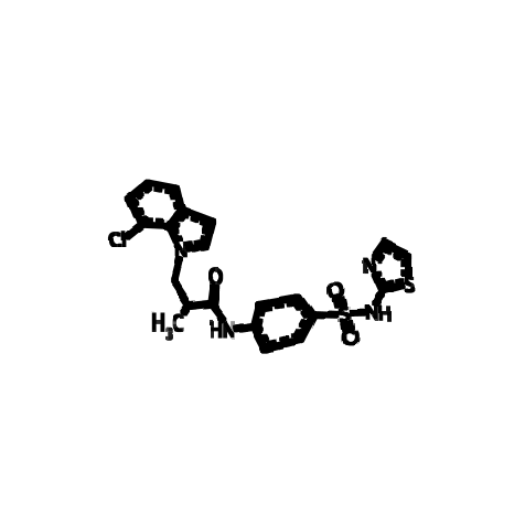 CC(Cn1ccc2cccc(Cl)c21)C(=O)Nc1ccc(S(=O)(=O)Nc2nccs2)cc1